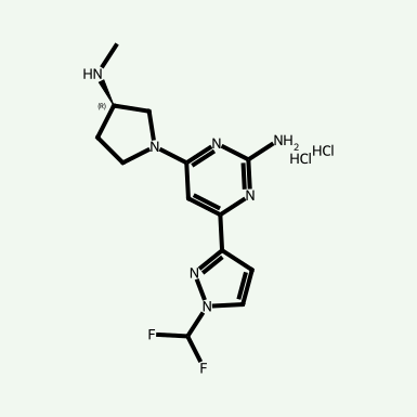 CN[C@@H]1CCN(c2cc(-c3ccn(C(F)F)n3)nc(N)n2)C1.Cl.Cl